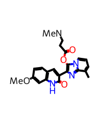 CNCCC(=O)Oc1c(-c2cc3ccc(OC)cc3[nH]c2=O)nc2c(C)cccn12